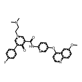 COc1ccc2nccc(Oc3ccc(NC(=O)c4cn(CCN(C)C)cc(-c5ccc(F)cc5)c4=O)nc3)c2c1